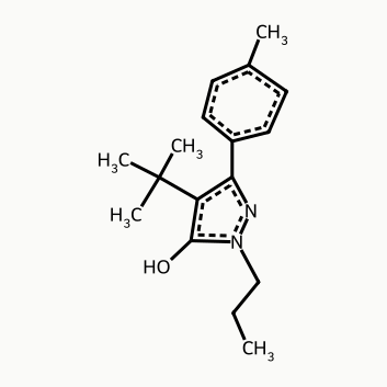 CCCn1nc(-c2ccc(C)cc2)c(C(C)(C)C)c1O